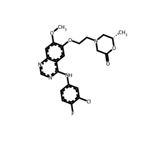 COc1cc2ncnc(Nc3ccc(F)c(Cl)c3)c2cc1OCCN1CC(=O)O[C@@H](C)C1